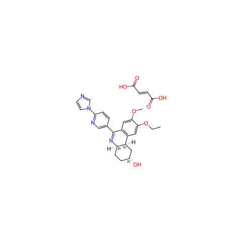 CCOc1cc2c(cc1OC)C(c1ccc(-n3ccnc3)nc1)=N[C@@H]1CC[C@@H](O)C[C@H]21.O=C(O)C=CC(=O)O